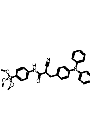 CO[Si](OC)(OC)c1ccc(NC(=O)C(C#N)Cc2ccc(N(c3ccccc3)c3ccccc3)cc2)cc1